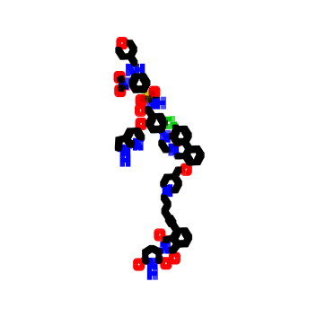 O=C1CCC(N2C(=O)c3cccc(C#CCCCN4CCC(COc5cccc(-c6ccc(Cl)cc6)c5CN5CCN(c6ccc(C(=O)NS(=O)(=O)c7ccc(NCC8CCOCC8)c([N+](=O)[O-])c7)c(Oc7cnc8[nH]ccc8c7)c6)CC5)CC4)c3C2=O)C(=O)N1